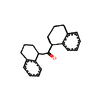 O=C(C1CCCc2ccccc21)C1CCCc2ccccc21